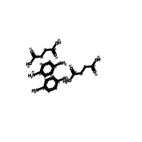 Nc1ccc(N)cc1.Nc1ccc(N)cc1.O=C(O)CCC(=O)O.O=C(O)CCC(=O)O